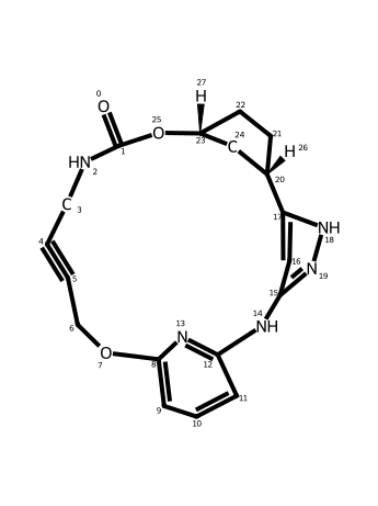 O=C1NCC#CCOc2cccc(n2)Nc2cc([nH]n2)[C@H]2CC[C@H](C2)O1